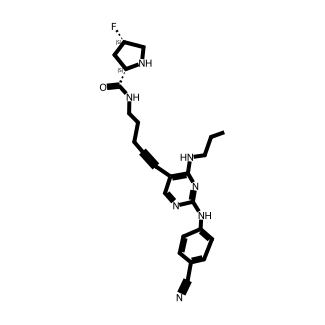 CCCNc1nc(Nc2ccc(C#N)cc2)ncc1C#CCCCNC(=O)[C@@H]1C[C@H](F)CN1